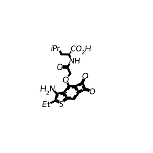 CCc1sc2cc3c(=O)c(=O)c3c(OCC(=O)N[C@@H](CC(C)C)C(=O)O)c2c1N